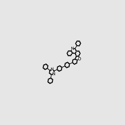 c1ccc(-c2cc(-c3ccccc3)nc(-c3ccc(-c4ccc(-c5ccc6oc7ccc8c(-c9ccccc9)nc9ccccc9c8c7c6c5)cc4)cc3)n2)cc1